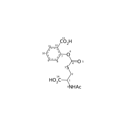 CC(=O)NC(CSC(=O)Oc1ccccc1C(=O)O)C(=O)O